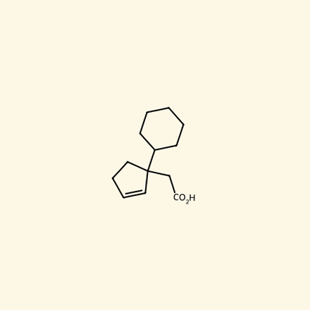 O=C(O)CC1(C2CCCCC2)C=CCC1